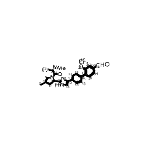 CN[C@H](C(=O)N1CC(C)CC1c1nc(-c2ccc(-c3ccc(C=O)cc3OC(F)(F)F)cc2)c[nH]1)C(C)C